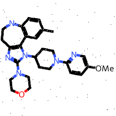 COc1ccc(N2CCC(n3c(N4CCOCC4)nc4c3-c3cc(C)ccc3[N]CC4)CC2)nc1